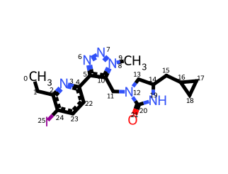 CCc1nc(-c2nnn(C)c2CN2CC(CC3CC3)NC2=O)ccc1I